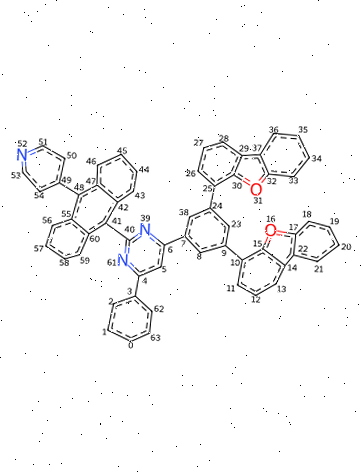 c1ccc(-c2cc(-c3cc(-c4cccc5c4oc4ccccc45)cc(-c4cccc5c4oc4ccccc45)c3)nc(-c3c4ccccc4c(-c4ccncc4)c4ccccc34)n2)cc1